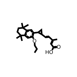 CCCOc1cc2c(cc1C1CC1C=CC(C)=CC(=O)O)C(C)(C)CCC2(C)C